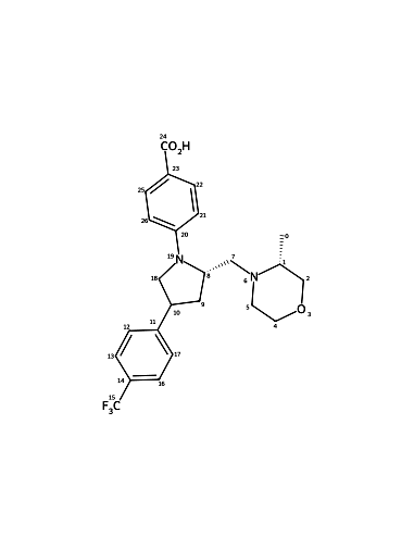 C[C@@H]1COCCN1C[C@@H]1CC(c2ccc(C(F)(F)F)cc2)CN1c1ccc(C(=O)O)cc1